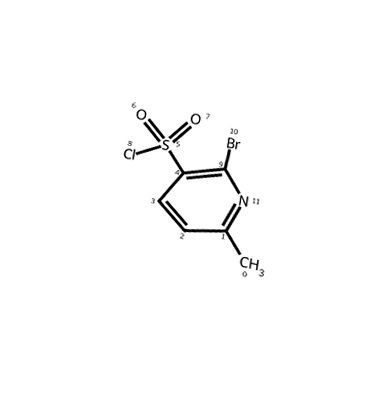 Cc1ccc(S(=O)(=O)Cl)c(Br)n1